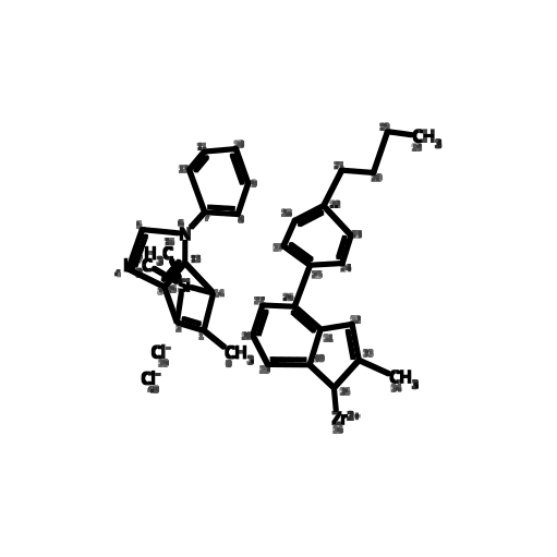 CC1=C2c3ccn(-c4ccccc4)c3C1[Si]2(C)C.CCCCc1ccc(-c2cccc3c2C=C(C)[CH]3[Zr+2])cc1.[Cl-].[Cl-]